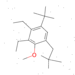 CCc1c(C(C)(C)C)cc(CC(C)(C)C)c(OC)c1CC